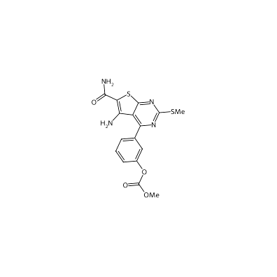 COC(=O)Oc1cccc(-c2nc(SC)nc3sc(C(N)=O)c(N)c23)c1